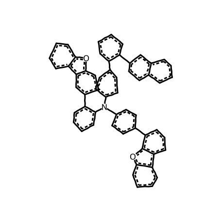 c1ccc(-c2ccc3ccccc3c2)c(-c2ccc(N(c3ccc(-c4cccc5c4oc4ccccc45)cc3)c3ccccc3-c3ccc4oc5ccccc5c4c3)cc2)c1